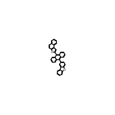 c1ccc2c(c1)ccc1oc(-c3c4ccccc4c(-c4ccc5oc6ccccc6c5c4)c4ccccc34)cc12